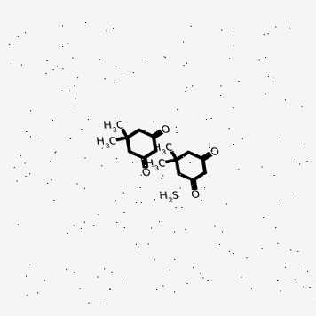 CC1(C)CC(=O)CC(=O)C1.CC1(C)CC(=O)CC(=O)C1.S